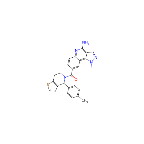 Cn1ncc2c(N)nc3ccc(C(=O)N4CCc5sccc5C4c4ccc(C(F)(F)F)cc4)cc3c21